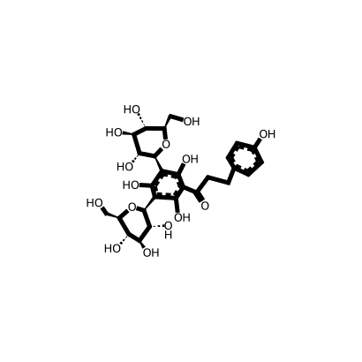 O=C(CCc1ccc(O)cc1)c1c(O)c([C@@H]2O[C@H](CO)[C@@H](O)[C@H](O)[C@H]2O)c(O)c([C@@H]2O[C@H](CO)[C@@H](O)[C@H](O)[C@H]2O)c1O